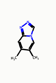 Cc1[c]c2nncn2cc1C